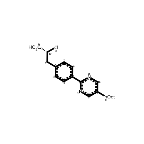 CCCCCCCCc1cnc(-c2ccc(C[C@@H](Cl)C(=O)O)cc2)nc1